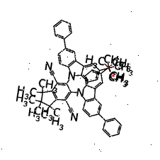 CC(C)(C)c1ccc2c(c1)c1cc(-c3ccccc3)ccc1n2-c1c(C#N)c2c(c(C#N)c1-n1c3ccc(-c4ccccc4)cc3c3cc(C(C)(C)C)ccc31)C(C)(C)C(C)(C)C2(C)C